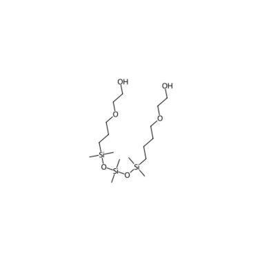 C[Si](C)(CCCCOCCO)O[Si](C)(C)O[Si](C)(C)CCCOCCO